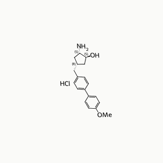 COc1ccc(-c2ccc(C[C@@H]3C[C@H](N)[C@@H](O)C3)cc2)cc1.Cl